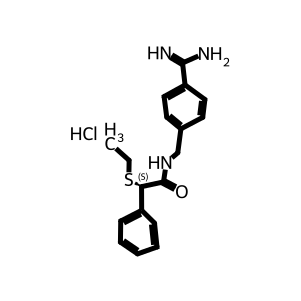 CCS[C@H](C(=O)NCc1ccc(C(=N)N)cc1)c1ccccc1.Cl